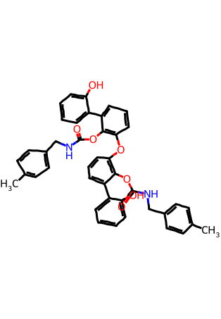 Cc1ccc(CNC(=O)Oc2c(Oc3cccc(-c4ccccc4O)c3OC(=O)NCc3ccc(C)cc3)cccc2-c2ccccc2O)cc1